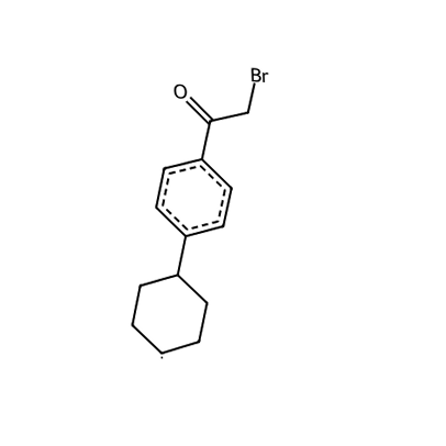 O=C(CBr)c1ccc(C2CC[CH]CC2)cc1